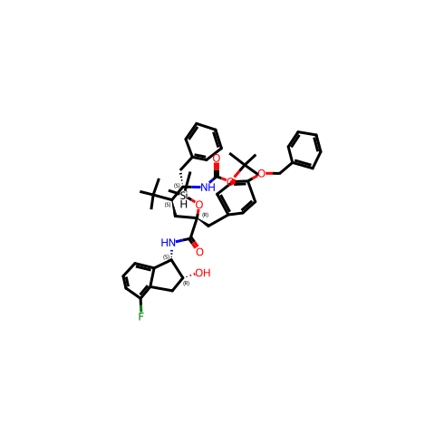 C[SiH](C)O[C@@](Cc1ccc(OCc2ccccc2)cc1)(C[C@H]([C@H](Cc1ccccc1)NC(=O)OC(C)(C)C)C(C)(C)C)C(=O)N[C@H]1c2cccc(F)c2C[C@H]1O